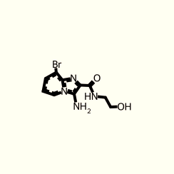 Nc1c(C(=O)NCCO)nc2c(Br)cccn12